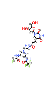 O=C(/C=C/c1cn(C2CC(O)C(CO)O2)c(=O)[nH]c1=O)NCCN(CCNC(=O)CF)CCNC(=O)C(F)(F)F